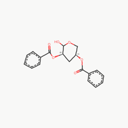 O=C(O[C@@H]1COC(O)[C@H](OC(=O)c2ccccc2)C1)c1ccccc1